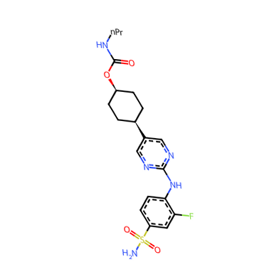 CCCNC(=O)O[C@H]1CC[C@@H](c2cnc(Nc3ccc(S(N)(=O)=O)cc3F)nc2)CC1